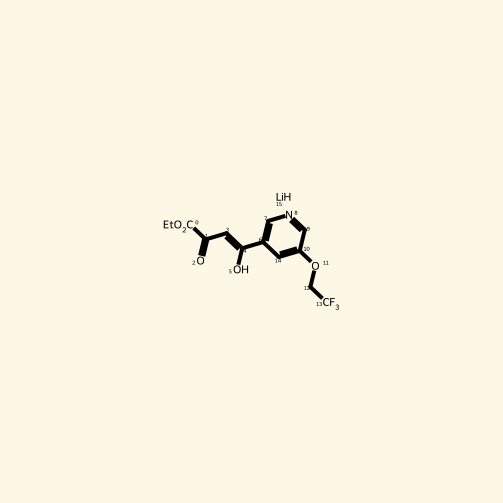 CCOC(=O)C(=O)C=C(O)c1cncc(OCC(F)(F)F)c1.[LiH]